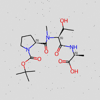 CC(O)[C@@H](C(=O)N[C@@H](C)C(=O)O)N(C)C(=O)[C@@H]1CCCN1C(=O)OC(C)(C)C